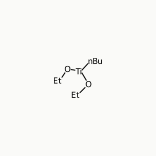 CCC[CH2][Ti]([O]CC)[O]CC